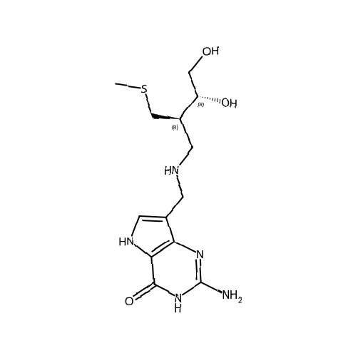 CSC[C@H](CNCc1c[nH]c2c(=O)[nH]c(N)nc12)[C@@H](O)CO